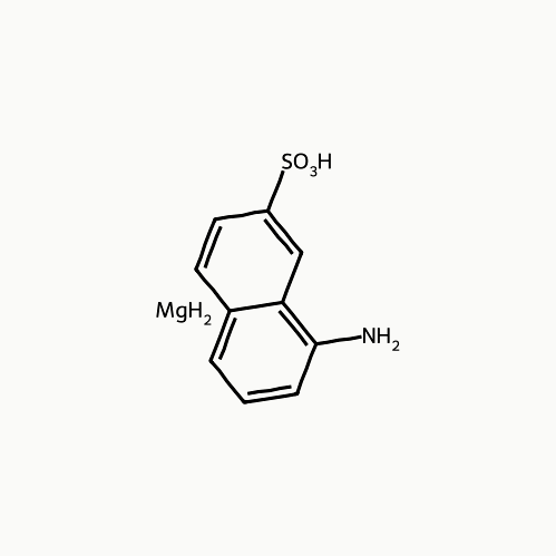 Nc1cccc2ccc(S(=O)(=O)O)cc12.[MgH2]